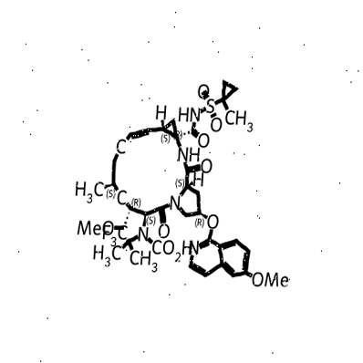 COC[C@@H]1C[C@@H](C)CCC=C[C@@H]2C[C@@]2(C(=O)NS(=O)(=O)C2(C)CC2)NC(=O)[C@@H]2C[C@@H](Oc3nccc4cc(OC)ccc34)CN2C(=O)[C@H]1N(C(=O)O)C(C)(C)C(F)(F)F